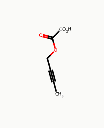 CC#CCOC(=O)C(=O)O